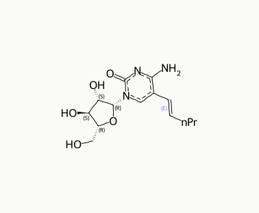 CCC/C=C/c1cn([C@@H]2O[C@H](CO)[C@@H](O)[C@@H]2O)c(=O)nc1N